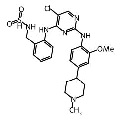 COc1cc(C2CCN(C)CC2)ccc1Nc1ncc(Cl)c(Nc2ccccc2CN[SH](=O)=O)n1